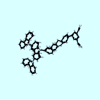 N#Cc1cc(C#N)cc(-c2ccc3c(c2)Cc2cc4ccc(-n5c6ccc(-n7c8ccccc8c8ccccc87)cc6c6cc(-n7c8ccccc8c8ccccc87)ccc65)cc4cc2C3)c1